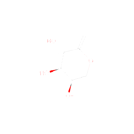 C=C1OC[C@@H](O)[C@@H](O)[C@@H]1O